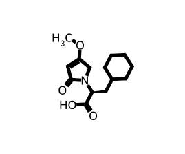 COC1=CC(=O)N([C@@H](CC2CCCCC2)C(=O)O)C1